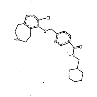 O=C(NCC1CCCCC1)c1ccc(CSc2c(Cl)ccc3c2CCNCC3)nc1